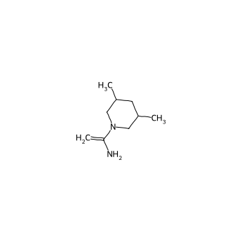 C=C(N)N1CC(C)CC(C)C1